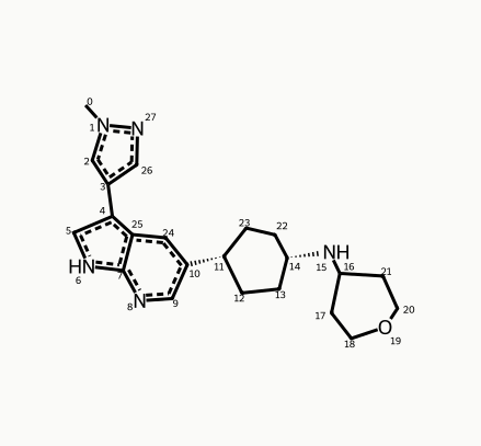 Cn1cc(-c2c[nH]c3ncc([C@H]4CC[C@@H](NC5CCOCC5)CC4)cc23)cn1